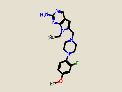 CCOc1ccc(N2CCN(Cc3cc4cnc(N)nc4n3CC(C)(C)C)CC2)c(F)c1